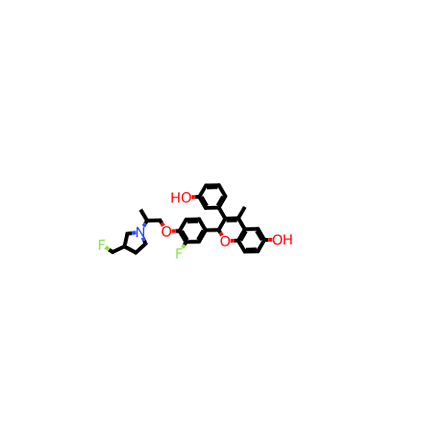 CC1=C(c2cccc(O)c2)C(c2ccc(OCC(C)N3CCC(CF)C3)c(F)c2)Oc2ccc(O)cc21